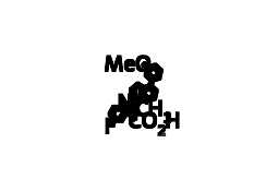 COc1cccc(-c2cccc3c2CCN3c2nc3ccc(F)cc3c(C(=O)O)c2C)c1